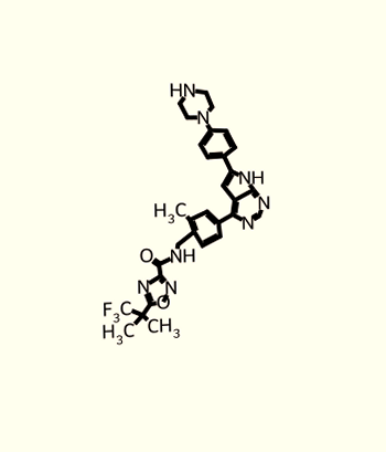 Cc1cc(-c2ncnc3[nH]c(-c4ccc(N5CCNCC5)cc4)cc23)ccc1CNC(=O)c1noc(C(C)(C)C(F)(F)F)n1